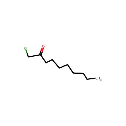 CCCCCCCCC(=O)CCl